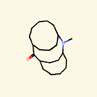 CN1C2CCCCCC(CCC2)C(=O)C2CCCCCC1CC2